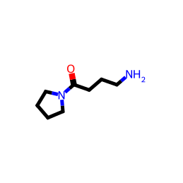 NCCCC(=O)N1CCCC1